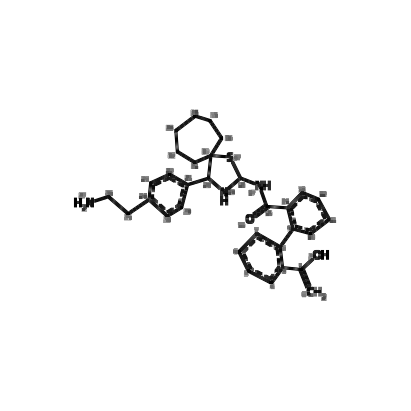 C=C(O)c1ccccc1-c1ccccc1C(=O)NC1NC(c2ccc(CCN)cc2)C2(CCCCCC2)S1